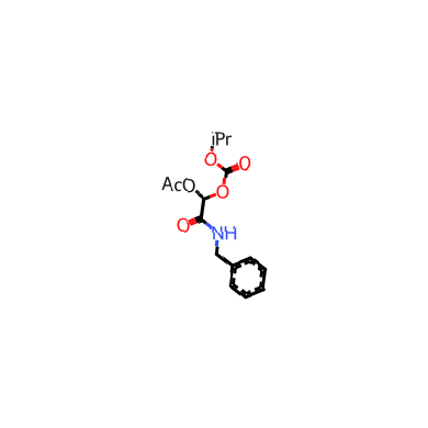 CC(=O)OC(OC(=O)OC(C)C)C(=O)NCc1ccccc1